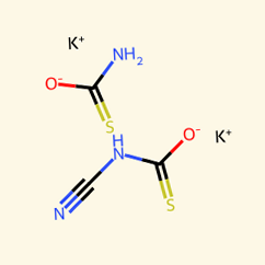 N#CNC([O-])=S.NC([O-])=S.[K+].[K+]